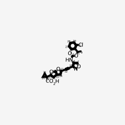 CC(OC(=O)Nc1conc1C#Cc1cc2cc(C3(C(=O)O)CC3)oc2o1)c1ccccc1Cl